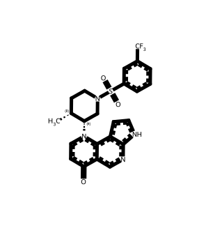 C[C@@H]1CCN(S(=O)(=O)c2cccc(C(F)(F)F)c2)C[C@@H]1n1ccc(=O)c2cnc3[nH]ccc3c21